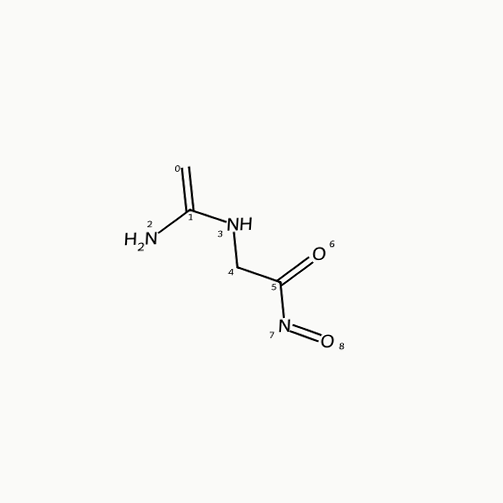 C=C(N)NCC(=O)N=O